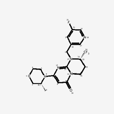 C[C@@H]1COCCN1c1cc(=O)n2c(n1)N(Cc1cncc(F)c1)[C@H](C(F)(F)F)CC2